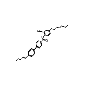 CCCCCCCc1ccc(OC(=O)c2ccc(-c3ccc(CCCCC)cc3)cc2)c(C#N)c1